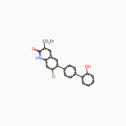 CCOC(=O)c1cc2cc(-c3ccc(-c4ccccc4O)cc3)c(Cl)cc2[nH]c1=O